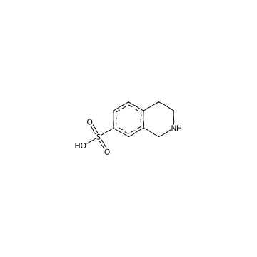 O=S(=O)(O)c1ccc2c(c1)CNCC2